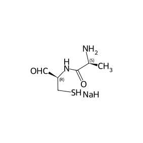 C[C@H](N)C(=O)N[C@H](C=O)CS.[NaH]